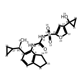 C[C@@H](c1ccc2c(c1NC(=O)NS(=O)(=O)c1cc(C3(O)CC3)co1)CCC2)C1CC1